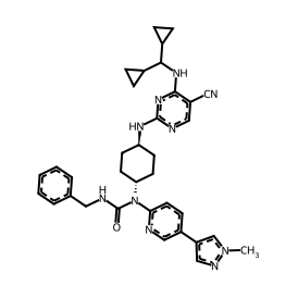 Cn1cc(-c2ccc(N(C(=O)NCc3ccccc3)[C@H]3CC[C@H](Nc4ncc(C#N)c(NC(C5CC5)C5CC5)n4)CC3)nc2)cn1